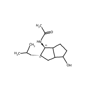 CC(=O)N[C@H]1C2CCC(O)C2C[C@@H]1CC(C)C